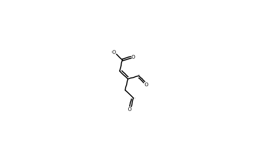 [O]C(=O)C=C([C]=O)C[C]=O